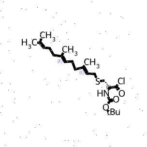 CC(C)=CCC/C(C)=C/CC/C(C)=C/CSC[C@@H](NC(=O)OC(C)(C)C)C(=O)Cl